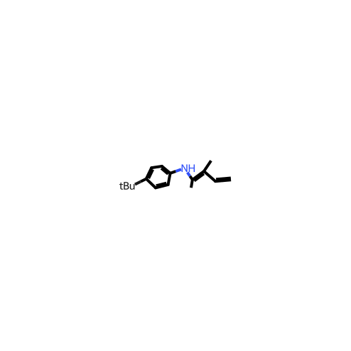 C=C/C(C)=C(\C)Nc1ccc(C(C)(C)C)cc1